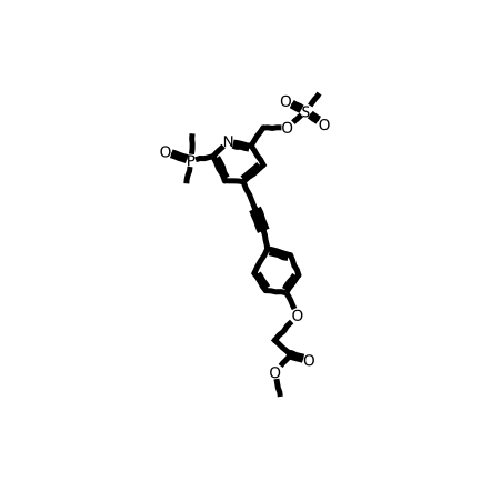 COC(=O)COc1ccc(C#Cc2cc(COS(C)(=O)=O)nc(P(C)(C)=O)c2)cc1